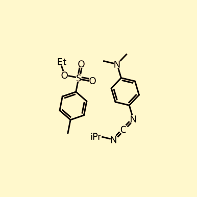 CC(C)N=C=Nc1ccc(N(C)C)cc1.CCOS(=O)(=O)c1ccc(C)cc1